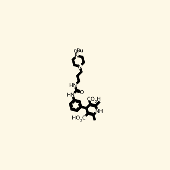 CCCCN1CCN(CCCNC(=O)Nc2cccc(C3C(C(=O)O)=C(C)NC(C)=C3C(=O)O)c2)CC1